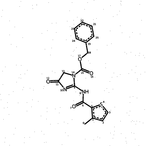 Cc1ccsc1C(=O)NC1=NC(=O)CN1C(=O)OCc1ccccc1